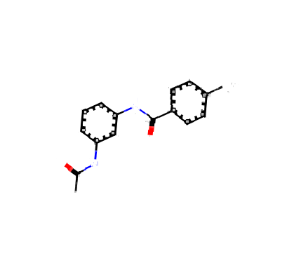 CCC(=O)Nc1cccc(NC(=O)c2ccc(OC)cc2)c1